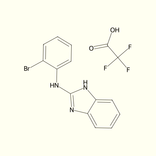 Brc1ccccc1Nc1nc2ccccc2[nH]1.O=C(O)C(F)(F)F